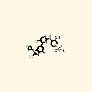 CCc1nc2c(F)cc(-c3nc(N[C@@H]4CCN(S(C)(=O)=O)C[C@H]4O)ncc3Cl)cc2n1C1COC1